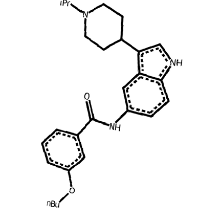 CCCCOc1cccc(C(=O)Nc2ccc3[nH]cc(C4CCN(C(C)C)CC4)c3c2)c1